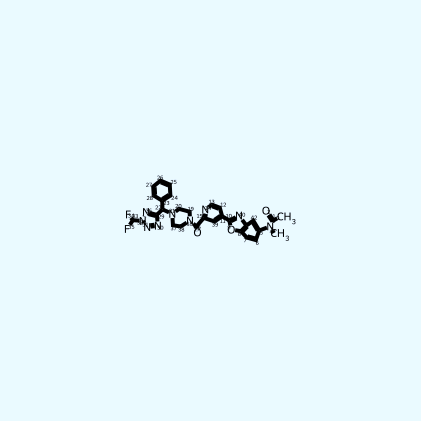 CC(=O)N(C)c1ccc2oc(-c3ccnc(C(=O)N4CCN(C(c5ccccc5)c5nnn(C(F)F)n5)CC4)c3)nc2c1